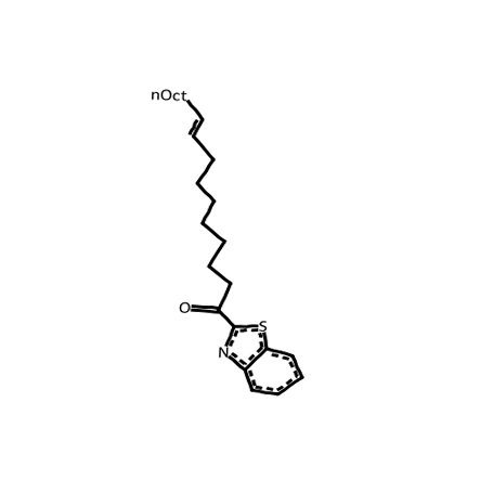 CCCCCCCCC=CCCCCCCCC(=O)c1nc2ccccc2s1